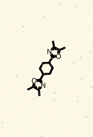 Cc1nc(C2CCC(c3nc(C)c(C)o3)CC2)oc1C